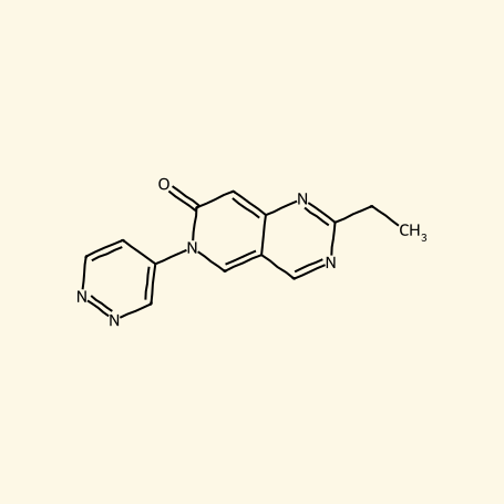 CCc1ncc2cn(-c3ccnnc3)c(=O)cc2n1